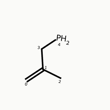 C=C(C)CP